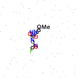 COc1ccc2cc(C(=O)N3CCOC[C@H]3CCN3CCC(c4noc5cc(F)ccc45)CC3)[nH]c2c1